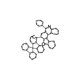 c1ccc(-c2nc3ccccc3c3c2cc(-c2cccc4c2-c2ccccc2C42c4ccccc4-c4ccccc42)c2oc4ccccc4c23)cc1